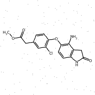 COC(=O)Cc1ccc(Oc2ccc3c(c2N)CC(=O)N3)c(Cl)c1